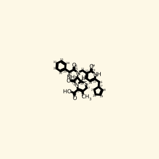 CC1=C(C(=O)O)N2C(=O)[C@@H](N(Cc3ccc(CC4C=CCC4)[nH]c3=O)C(=O)[C@H](N)c3ccccc3)[C@H]2SC1